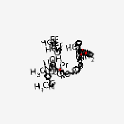 Cc1ncsc1-c1ccc(C(C)NC(=O)[C@@H]2C[C@@H](O)CN2C(=O)C(c2cc(OCCN3CCC(OC4CC(Oc5cc(N6C7CCC6CN(c6cc(-c8ccccc8O)nnc6N)C7)ccn5)C4)CC3)no2)C(C)C)cc1.O=C(O)C(F)(F)F.O=C(O)C(F)(F)F